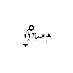 CC(C)N(C[C@@H]1CN(Cc2ccccc2)CCN1C(=O)OC(C)(C)C)C(=O)CCC(=O)NC1CC1